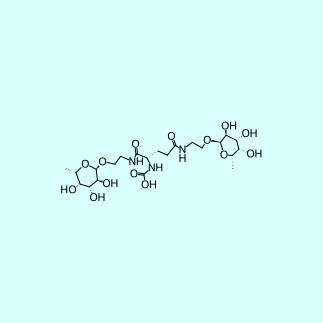 C[C@@H]1O[C@@H](OCCNC(=O)CC[C@H](NC(=O)O)C(=O)NCCO[C@@H]2O[C@@H](C)[C@@H](O)[C@@H](O)[C@@H]2O)[C@@H](O)[C@H](O)[C@@H]1O